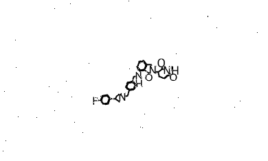 O=C1CCC(N2Cc3cccc(NCc4ccc(CN5CC(c6ccc(F)cc6)C5)cc4)c3C2=O)C(=O)N1